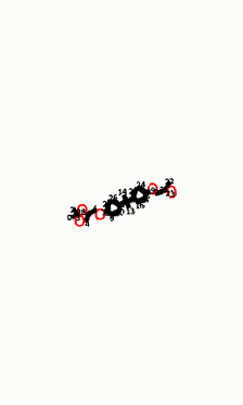 CC1(C)OCC(COc2ccc(C(C)(C)c3ccc(OCC4CO4)cc3)cc2)O1